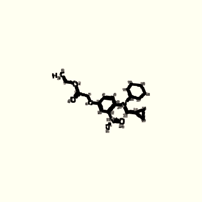 CCOC(=O)COc1ccc(N(CC2CC2)C2CCCCC2)c([N+](=O)[O-])c1